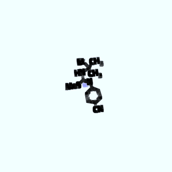 CCC(C)(C)N/C(=N/c1ccc(C#N)cc1)SC